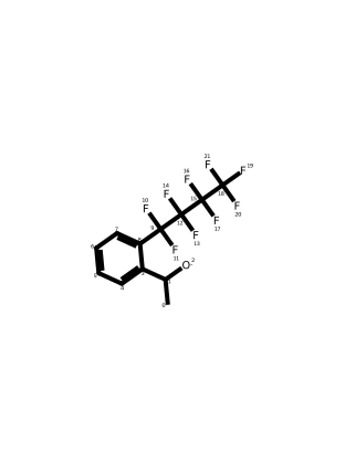 CC([O])c1ccccc1C(F)(F)C(F)(F)C(F)(F)C(F)(F)F